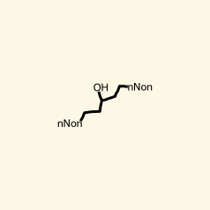 CCCCCCCCCCCC(O)CCCCCCCCCCC